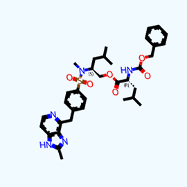 Cc1nc2c(Cc3ccc(S(=O)(=O)N(C)[C@H](COC(=O)[C@@H](CC(C)C)NC(=O)OCc4ccccc4)CC(C)C)cc3)nccc2[nH]1